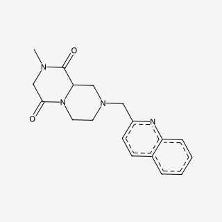 CN1CC(=O)N2CCN(Cc3ccc4ccccc4n3)CC2C1=O